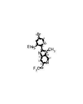 CCSc1cc(Br)cnc1-c1nc2cc(SC(F)(F)F)ncc2n1C